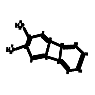 Pc1cc2c(cc1P)-c1ccccc1-2